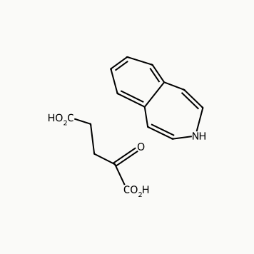 C1=Cc2ccccc2C=CN1.O=C(O)CCC(=O)C(=O)O